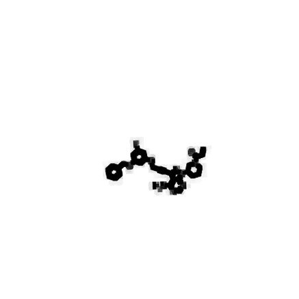 C=CC(=O)N1CCC[C@@H](n2nc(C#CCOc3cc(F)cc(OCc4ccccc4)c3)c3c(N)ncnc32)C1